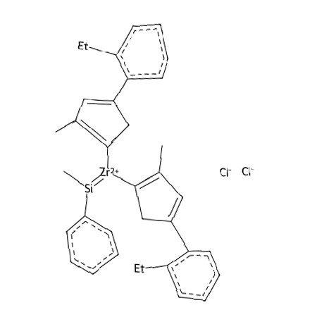 CCc1ccccc1C1=CC(C)=[C]([Zr+2]([C]2=C(C)C=C(c3ccccc3CC)C2)=[Si](C)c2ccccc2)C1.[Cl-].[Cl-]